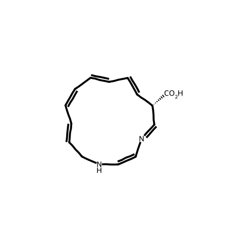 O=C(O)[C@H]1/C=C/C=C/C=C\C=C\CN/C=C\N=C\1